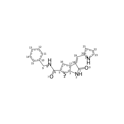 O=C1Nc2sc(C(=O)NCc3ccccc3)cc2/C1=C/c1ccc[nH]1